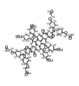 CC(C)(C)c1ccc(Oc2cc3c4c(cc(Oc5ccc(C(C)(C)C)cc5)c5c6c(Oc7ccc(C(C)(C)C)cc7)cc7c8c(cc(Oc9ccc(C(C)(C)C)cc9)c(c2c45)c86)C(=O)N(CC(=O)N(c2ccc(OCC4CO4)cc2)c2ccc(OCC4CO4)cc2)C7=O)C(=O)N(CC(=O)N(c2ccc(OCC4CO4)cc2)c2ccc(OCC4CO4)cc2)C3=O)cc1